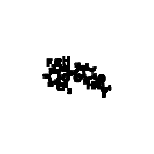 O=C(NC1CC1)c1ccc2cc(C(=O)NC(c3cccc(C(F)(F)F)c3)C(F)(F)F)oc2c1